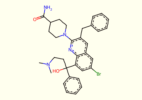 CN(C)CCC(O)(c1ccccc1)c1cc(Br)cc2cc(Cc3ccccc3)c(N3CCC(C(N)=O)CC3)nc12